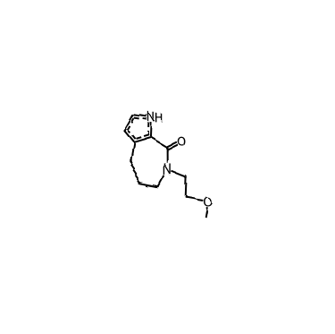 COCCN1CCCc2cc[nH]c2C1=O